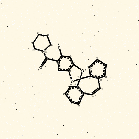 O=C(c1cc2c(cc1F)OC1(O2)c2ccccc2C=Cc2ccccc21)N1CCCCC1